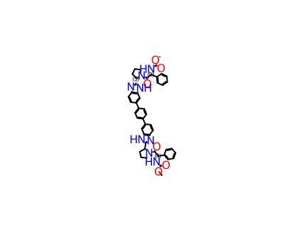 COC(=O)N[C@@H](C(=O)N1CCCC1c1nc2ccc(-c3ccc(-c4ccc5nc([C@@H]6CCCN6C(=O)[C@H](NC(=O)OC)c6ccccc6)[nH]c5c4)cc3)cc2[nH]1)c1ccccc1